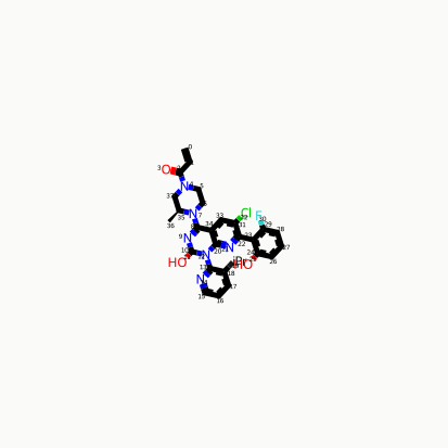 C=CC(=O)N1CCN(C2=NC(O)N(c3ncccc3C(C)C)c3nc(-c4c(O)cccc4F)c(Cl)cc32)[C@@H](C)C1